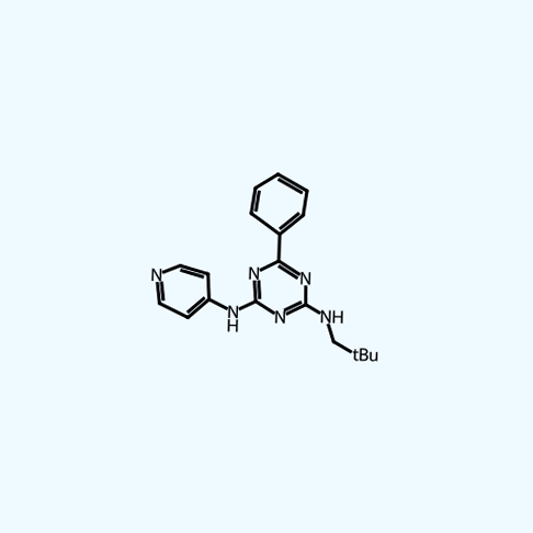 CC(C)(C)CNc1nc(Nc2ccncc2)nc(-c2ccccc2)n1